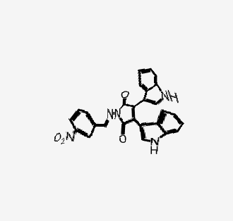 O=C1C(c2c[nH]c3ccccc23)=C(c2c[nH]c3ccccc23)C(=O)N1/N=C/c1cccc([N+](=O)[O-])c1